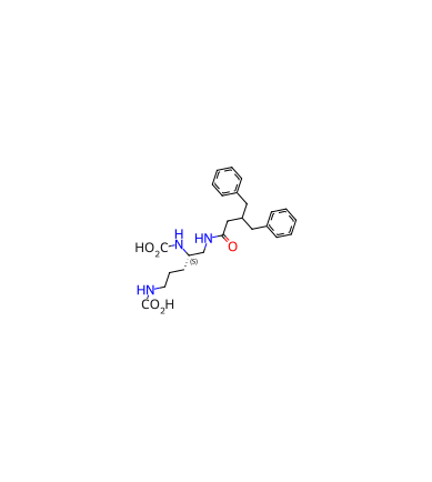 O=C(O)NCCC[C@@H](CNC(=O)CC(Cc1ccccc1)Cc1ccccc1)NC(=O)O